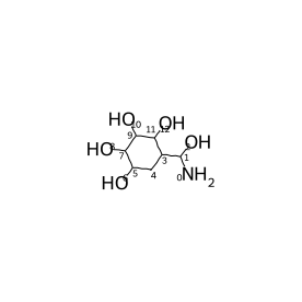 NC(O)C1CC(O)C(O)C(O)C1O